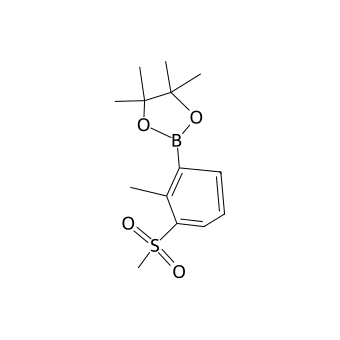 Cc1c(B2OC(C)(C)C(C)(C)O2)cccc1S(C)(=O)=O